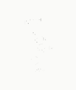 COc1ccc(Cn2nc(Br)c3ncc(N4CCC(C)(NC(=O)O)CC4)nc32)cc1